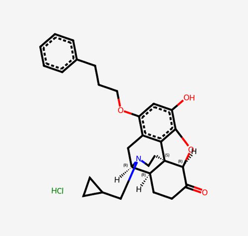 Cl.O=C1CC[C@H]2[C@H]3Cc4c(OCCCc5ccccc5)cc(O)c5c4[C@@]2(CCN3CC2CC2)[C@H]1O5